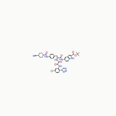 CC(C)(C)OC(=O)c1cc2cc(NC(=O)[C@H](Cc3ccc(NC(=O)N4CCC(C#N)CC4)cc3)NC(=O)C(=O)Nc3cc(Cl)ccc3-n3cnnn3)ccc2[nH]1